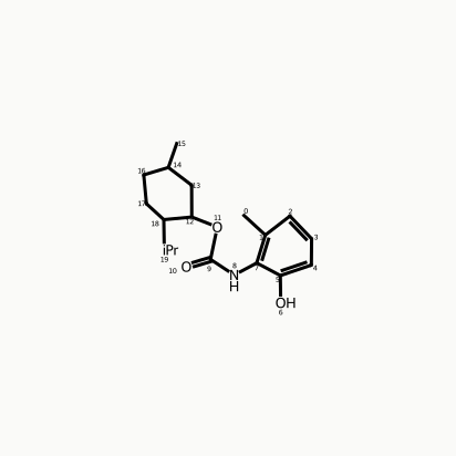 Cc1cccc(O)c1NC(=O)OC1CC(C)CCC1C(C)C